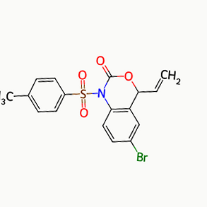 C=CC1OC(=O)N(S(=O)(=O)c2ccc(C)cc2)c2ccc(Br)cc21